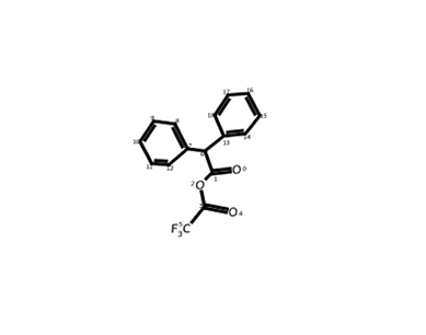 O=C(OC(=O)C(F)(F)F)C(c1ccccc1)c1ccccc1